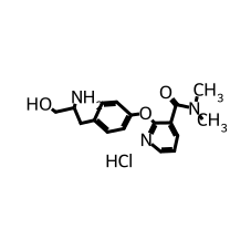 CN(C)C(=O)c1cccnc1Oc1ccc(CC(N)CO)cc1.Cl